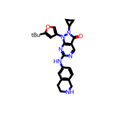 CC(C)(C)c1cc(-n2c3nc(Nc4ccc5c(c4)CCNC5)ncc3c(=O)n2C2CC2)co1